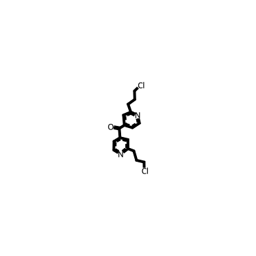 O=C(c1ccnc(CCCCl)c1)c1ccnc(CCCCl)c1